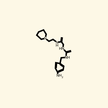 C=C(CNC(=C)NCc1ccc(N)cc1)NCCN1CCCCC1